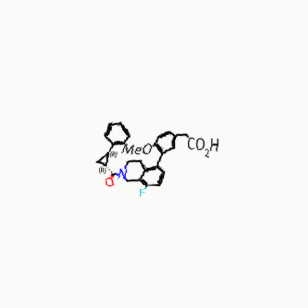 COc1ccc(CC(=O)O)cc1-c1ccc(F)c2c1CCN(C(=O)[C@@H]1C[C@H]1c1ccccc1)C2